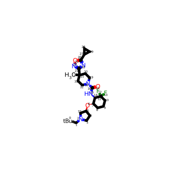 CC(C)(C)CN1CC[C@H](O[C@H]2CCCC(F)(F)[C@@H]2NC(=O)N2CCC(C)(c3noc(C4CC4)n3)CC2)C1